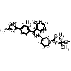 Cc1nc(-c2ccc(-c3nn([C@@H]4CCCN(C(=O)OC(C)(C)C)C4)c4ncnc(N)c34)cc2)no1